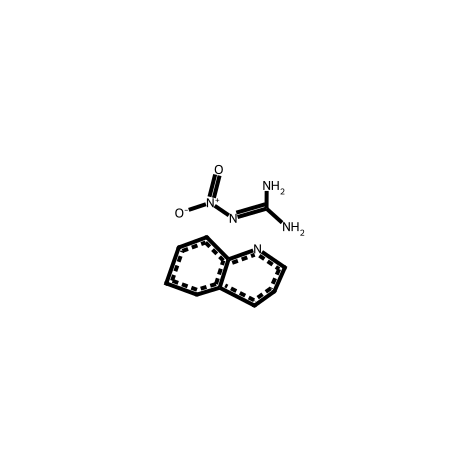 NC(N)=N[N+](=O)[O-].c1ccc2ncccc2c1